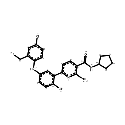 Nc1nc(-c2cc(Nc3ccc(Cl)cc3CF)ccc2O)ccc1C(=O)NC1CCCC1